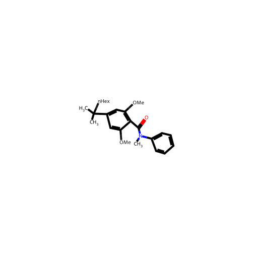 CCCCCCC(C)(C)c1cc(OC)c(C(=O)N(C)c2ccccc2)c(OC)c1